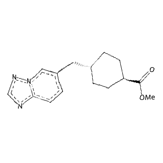 COC(=O)[C@H]1CC[C@H](Cc2ccc3ncnn3c2)CC1